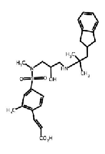 Cc1cc(S(=O)(=O)N(C)CC(O)CNC(C)(C)CC2Cc3ccccc3C2)ccc1C=CC(=O)O